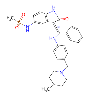 CC1CCN(Cc2ccc(N/C(=C3/C(=O)Nc4ccc(NS(=O)(=O)C(F)(F)F)cc43)c3ccccc3)cc2)CC1